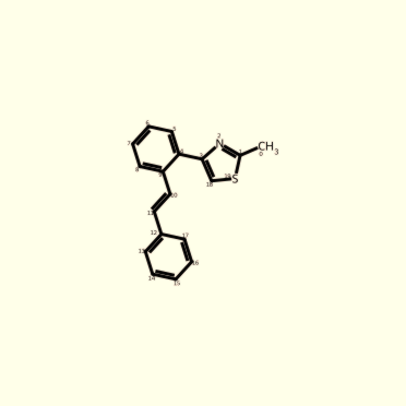 Cc1nc(-c2ccccc2/C=C/c2ccccc2)cs1